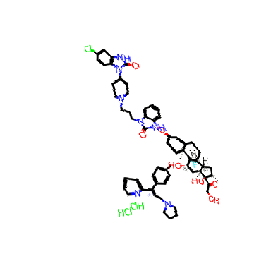 C[C@H]1C[C@H]2[C@@H]3CCC4=CC(=O)C=C[C@]4(C)[C@@]3(F)[C@@H](O)C[C@]2(C)[C@@]1(O)C(=O)CO.Cc1ccc(/C(=C\CN2CCCC2)c2ccccn2)cc1.Cl.Cl.O=c1[nH]c2ccccc2n1CCCN1CCC(n2c(=O)[nH]c3cc(Cl)ccc32)CC1